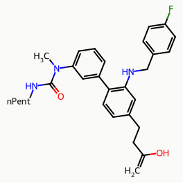 C=C(O)CCc1ccc(-c2cccc(N(C)C(=O)NCCCCC)c2)c(NCc2ccc(F)cc2)c1